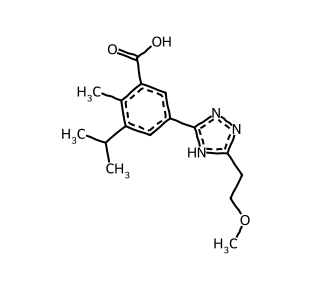 COCCc1nnc(-c2cc(C(=O)O)c(C)c(C(C)C)c2)[nH]1